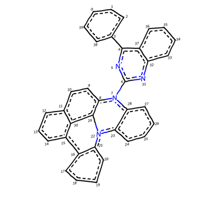 c1ccc(-c2nc(-n3c4ccc5cccc6c7ccccc7n(c7ccccc73)-c4c56)nc3ccccc23)cc1